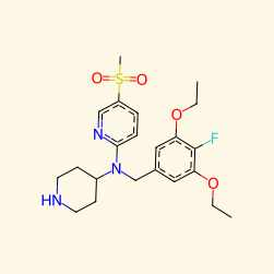 CCOc1cc(CN(c2ccc(S(C)(=O)=O)cn2)C2CCNCC2)cc(OCC)c1F